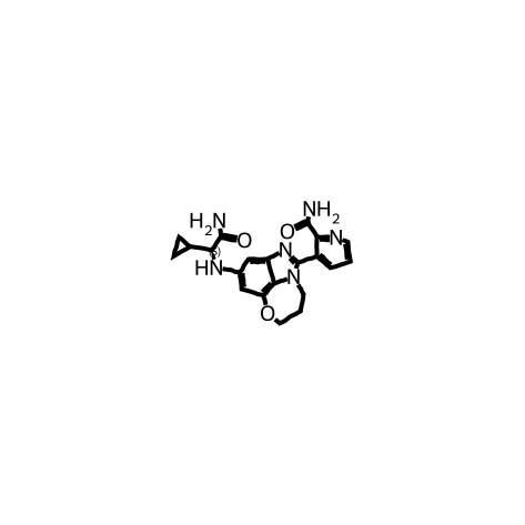 NC(=O)c1ncccc1-c1nc2cc(N[C@H](C(N)=O)C3CC3)cc3c2n1CCCO3